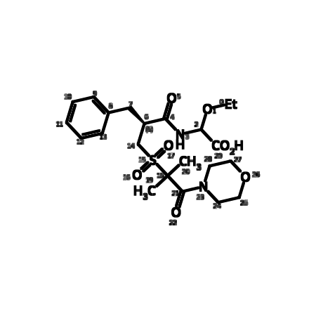 CCOC(NC(=O)[C@H](Cc1ccccc1)CS(=O)(=O)C(C)(C)C(=O)N1CCOCC1)C(=O)O